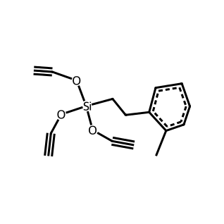 C#CO[Si](CCc1ccccc1C)(OC#C)OC#C